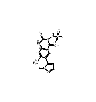 Cn1nccc1-c1cc2c(=O)n(NS(C)(=O)=O)c(=O)[nH]c2cc1C(F)(F)F